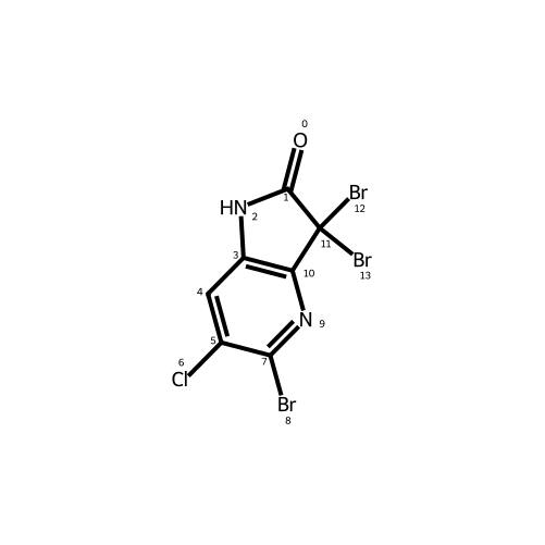 O=C1Nc2cc(Cl)c(Br)nc2C1(Br)Br